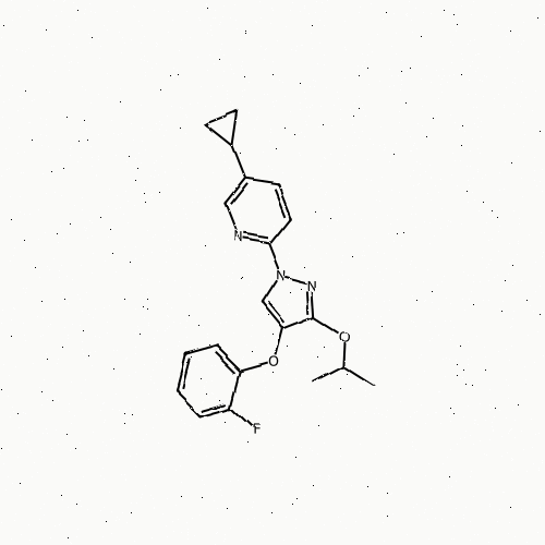 CC(C)Oc1nn(-c2ccc(C3CC3)cn2)cc1Oc1ccccc1F